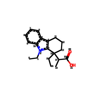 CCn1c2c(c3ccccc31)CCCC2(CC)C(C)C(=O)O